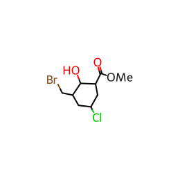 COC(=O)C1CC(Cl)CC(CBr)C1O